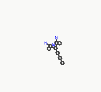 N#Cc1cc2c(c3c1CCCC3)c1cc(-c3ccc(-c4ccc(-c5ccccc5)cc4)cc3)cc3c4c5c(c(C#N)cc4n2c13)CCCC5